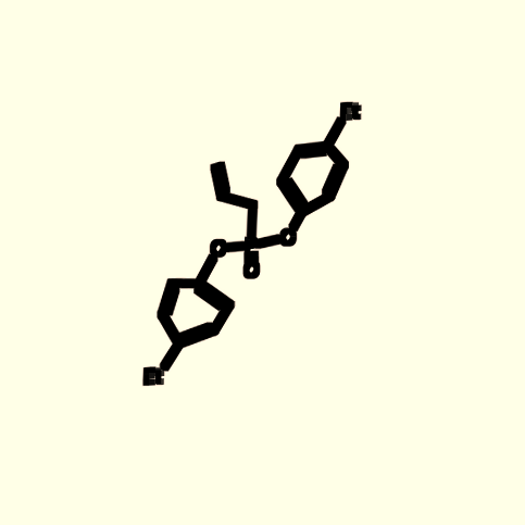 C=CCP(=O)(Oc1ccc(CC)cc1)Oc1ccc(CC)cc1